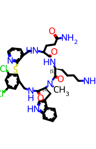 CN1C(=O)[C@H](CCCCN)NC(=O)C(CCC(N)=O)NCc2cccnc2Sc2c(Cl)cc(Cl)cc2CNC(=O)[C@@H]1Cc1c[nH]c2ccccc12